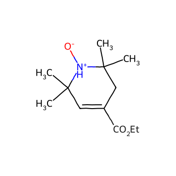 CCOC(=O)C1=CC(C)(C)[NH+]([O-])C(C)(C)C1